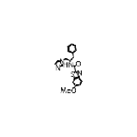 COc1ccc2nc(C(=O)NC(Cc3ccccc3)Cn3ccnc3)sc2c1